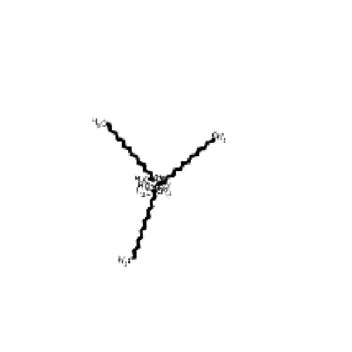 CCCCCCCCCCCCCCC(C)(C)[Si](O)(C(C)(C)CCCCCCCCCCCCCC)C(C)(C)CCCCCCCCCCCCCC